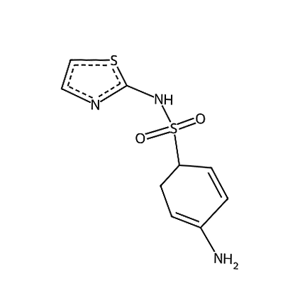 NC1=CCC(S(=O)(=O)Nc2nccs2)C=C1